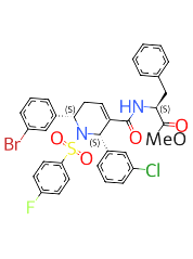 COC(=O)[C@H](Cc1ccccc1)NC(=O)C1=CC[C@@H](c2cccc(Br)c2)N(S(=O)(=O)c2ccc(F)cc2)[C@H]1c1cccc(Cl)c1